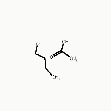 CC(=O)O.CCCCBr